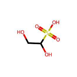 O=S(=O)(O)C(O)CO